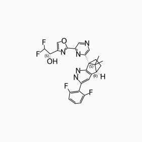 CC1(C)[C@H]2CC[C@]1(c1cncc(-c3nc([C@H](O)C(F)F)co3)n1)c1nnc(-c3c(F)cccc3F)cc12